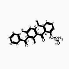 CCc1cccc(O[PH2]=O)c1C(=O)c1c(C)cc(C)c(C(=O)c2ccccc2)c1C